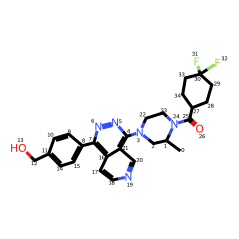 CC1CN(c2nnc(-c3ccc(CO)cc3)c3ccncc23)CCN1C(=O)C1CCC(F)(F)CC1